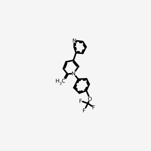 C=C1C=CC(c2cccnc2)=CN1c1ccc(OC(F)(F)F)cc1